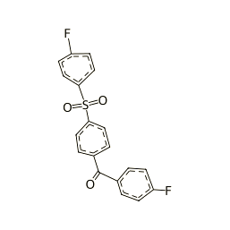 O=C(c1ccc(F)cc1)c1ccc(S(=O)(=O)c2ccc(F)cc2)cc1